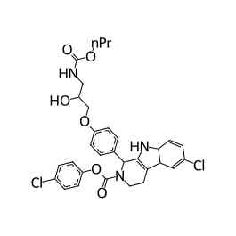 CCCOC(=O)NCC(O)COc1ccc(C2C3=C(CCN2C(=O)Oc2ccc(Cl)cc2)C2C=C(Cl)C=CC2N3)cc1